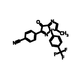 CC1=CN=C2C(=O)C(c3ccc(C#N)cc3)=N[N+]12c1ccc(C(F)(F)F)cc1